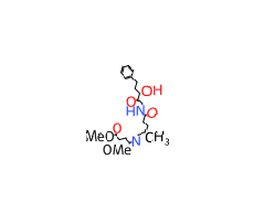 COC(=O)CCC(=NCC(C)CCC(=O)NCC(=O)C(O)CCc1ccccc1)OC